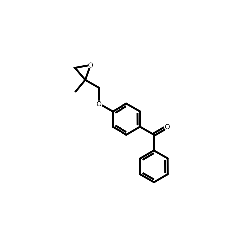 CC1(COc2ccc(C(=O)c3ccccc3)cc2)CO1